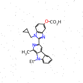 CCn1c2ccccc2c2cc(-c3nc4cc(OC(=O)O)ccc4n3CC3CC3)nc(C)c21